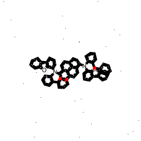 c1ccc(Cc2ccccc2N(c2ccc3ccc4c(N(c5ccccc5-c5ccccc5)c5cccc6c5oc5ccccc56)ccc5ccc2c3c54)c2cccc3c2oc2ccccc23)cc1